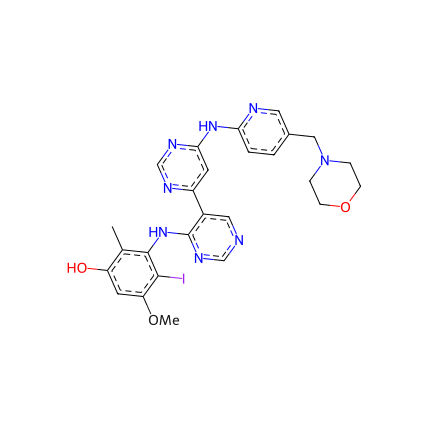 COc1cc(O)c(C)c(Nc2ncncc2-c2cc(Nc3ccc(CN4CCOCC4)cn3)ncn2)c1I